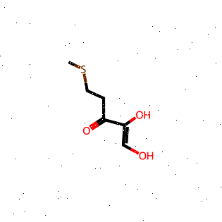 CSCCC(=O)C(O)=CO